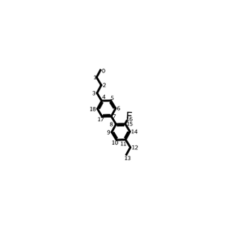 CCCCc1ccc(-c2ccc(CC)cc2F)cc1